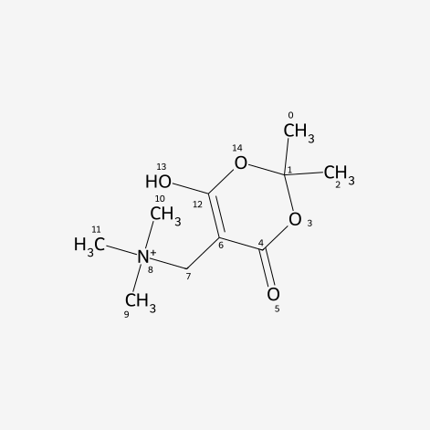 CC1(C)OC(=O)C(C[N+](C)(C)C)=C(O)O1